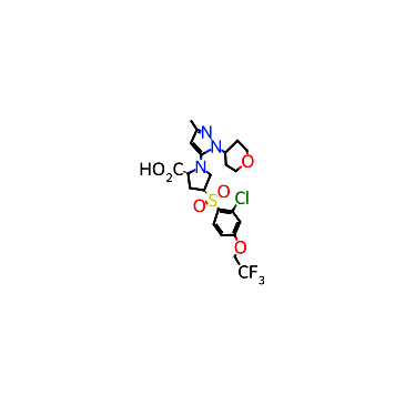 Cc1cc(N2C[C@H](S(=O)(=O)c3ccc(OCC(F)(F)F)cc3Cl)C[C@@H]2C(=O)O)n(C2CCOCC2)n1